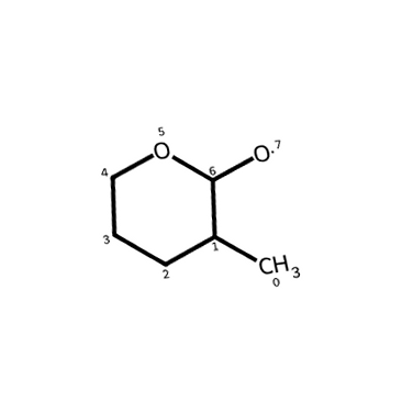 CC1CCCOC1[O]